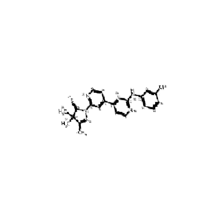 CC1=NN(c2cc(-c3ccnc(Nc4cccc(Cl)c4)n3)ccn2)C(=S)C1(C)C